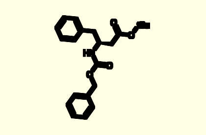 CC(C)(C)OC(=O)C[C@H](Cc1ccccc1)NC(=O)OCc1ccccc1